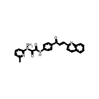 Cc1cccc(N(N)C(=O)C(=O)Nc2ccc(C(=O)/C=C/c3ccc4ccccc4n3)cc2)n1